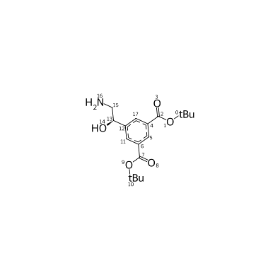 CC(C)(C)OC(=O)c1cc(C(=O)OC(C)(C)C)cc([C@@H](O)CN)c1